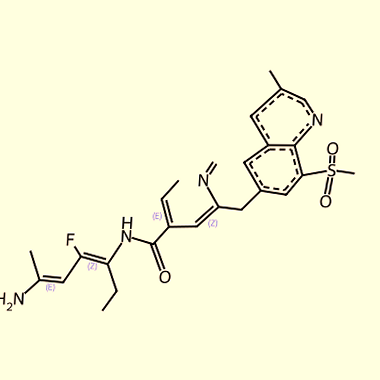 C=N/C(=C\C(=C/C)C(=O)N/C(CC)=C(F)/C=C(\C)N)Cc1cc(S(C)(=O)=O)c2ncc(C)cc2c1